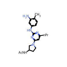 CCCc1cc(N2CCC(NC(C)=O)C2)nc(Nc2ccc(C)c(N)c2)n1